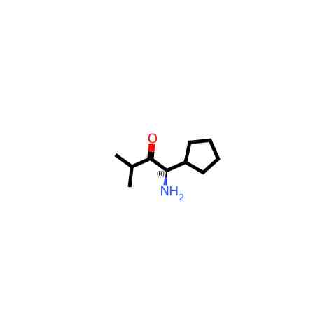 CC(C)C(=O)[C@H](N)C1CCCC1